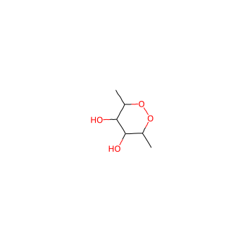 CC1OOC(C)C(O)C1O